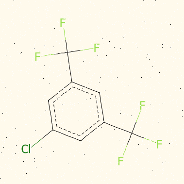 FC(F)(F)c1cc(Cl)cc(C(F)(F)F)c1